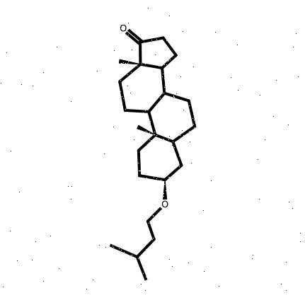 CC(C)CCO[C@H]1CC[C@@]2(C)C(CCC3C2CC[C@]2(C)C(=O)CCC32)C1